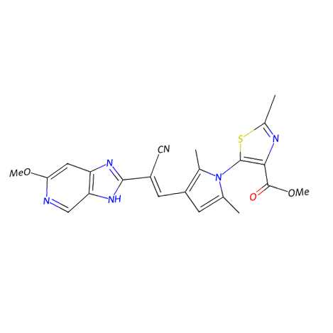 COC(=O)c1nc(C)sc1-n1c(C)cc(/C=C(\C#N)c2nc3cc(OC)ncc3[nH]2)c1C